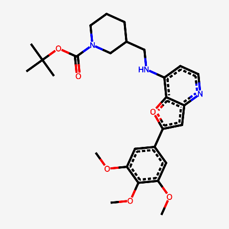 COc1cc(-c2cc3nccc(NCC4CCCN(C(=O)OC(C)(C)C)C4)c3o2)cc(OC)c1OC